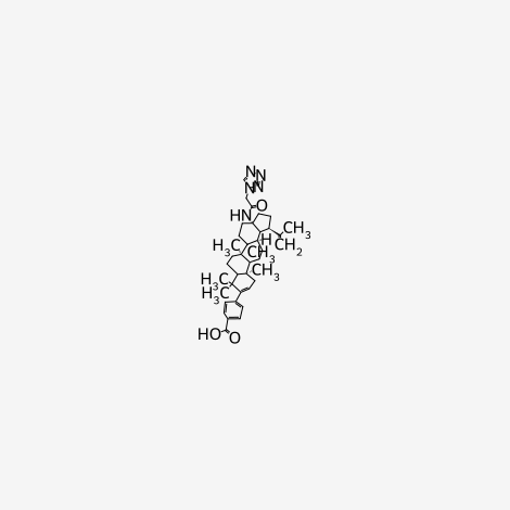 C=C(C)[C@@H]1CC[C@]2(NC(=O)Cn3cnnn3)CC[C@]3(C)[C@H](CCC4[C@@]5(C)CC=C(c6ccc(C(=O)O)cc6)C(C)(C)C5CC[C@]43C)C12